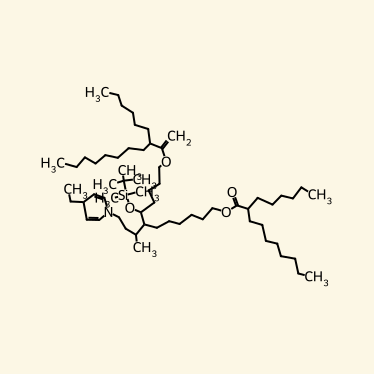 C=C(OCCCCC(O[Si](C)(C)C(C)(C)C)C(CCCCCCOC(=O)C(CCCCCC)CCCCCCCC)C(C)CCN1C=CC(CC)C=C1)C(CCCCCC)CCCCCCCC